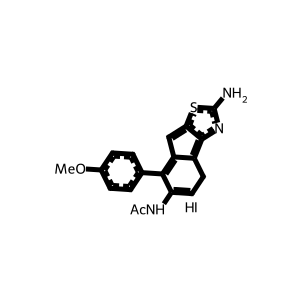 COc1ccc(C2=C3C=c4sc(N)nc4=C3CC=C2NC(C)=O)cc1.I